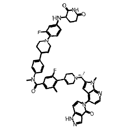 Cc1cc(C(=O)N(C)c2ccc(C3CCN(c4ccc(NC5CCC(=O)NC5=O)cc4F)CC3)cc2)cc(F)c1C1=CCN([C@H](C)c2cc3c(-n4ccc5[nH]ncc5c4=O)ccnc3n2C)CC1